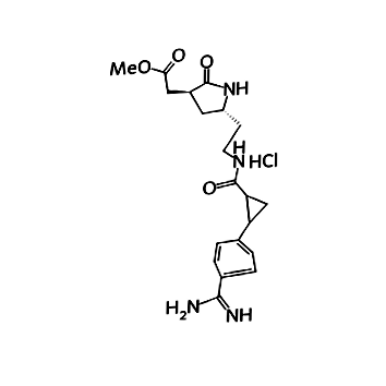 COC(=O)C[C@@H]1C[C@@H](CCNC(=O)C2CC2c2ccc(C(=N)N)cc2)NC1=O.Cl